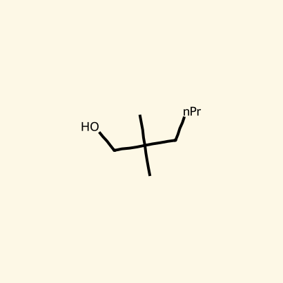 [CH2]CCCC(C)(C)CO